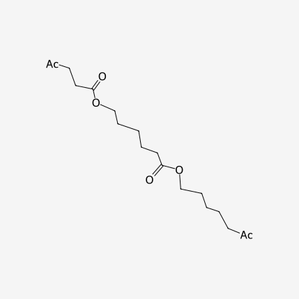 CC(=O)CCCCCOC(=O)CCCCCOC(=O)CCC(C)=O